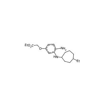 CCOC(=O)COc1ccc(N)c(NC2CCCC(CC)CC2)c1